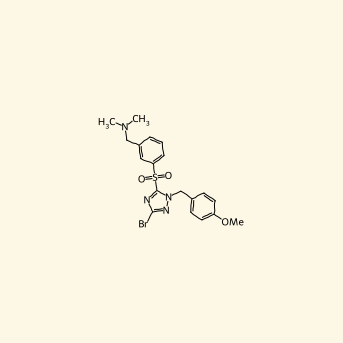 COc1ccc(Cn2nc(Br)nc2S(=O)(=O)c2cccc(CN(C)C)c2)cc1